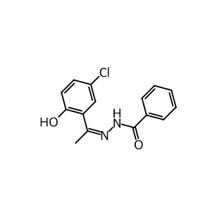 CC(=NNC(=O)c1ccccc1)c1cc(Cl)ccc1O